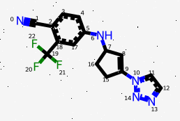 N#Cc1ccc(NC2C=C(n3ccnn3)CC2)cc1C(F)(F)F